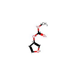 COC(=O)Oc1ccoc1